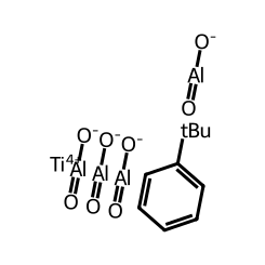 CC(C)(C)c1ccccc1.[O]=[Al][O-].[O]=[Al][O-].[O]=[Al][O-].[O]=[Al][O-].[Ti+4]